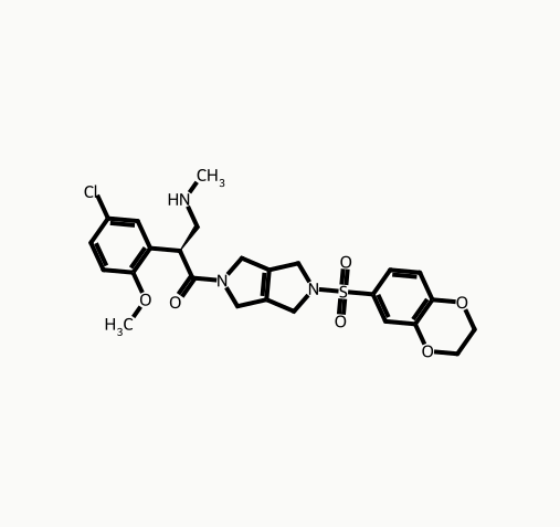 CNC[C@@H](C(=O)N1CC2=C(C1)CN(S(=O)(=O)c1ccc3c(c1)OCCO3)C2)c1cc(Cl)ccc1OC